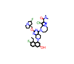 CCc1c(F)ccc2cc(O)cc(N3CCc4c(nc(OC[C@@]56CCCN5C[C@H](F)C6)nc4N4CCCCn5nc(C(=O)N(C)C)c(Cl)c5C4)C3)c12